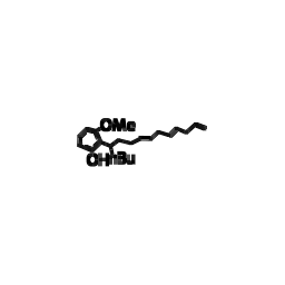 C=CCC=CCC=CCCC(CCCC)c1c(O)cccc1OC